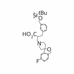 CC(C)(C)[Si](C)(C)OCc1cccc(CC(CN2CCC3(CC2)OCc2ccc(F)cc23)C(=O)O)c1